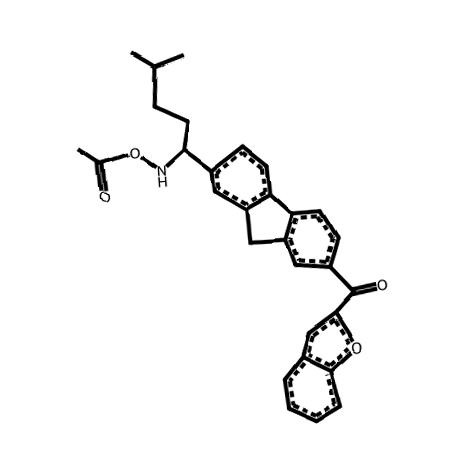 CC(=O)ONC(CCC(C)C)c1ccc2c(c1)Cc1cc(C(=O)c3cc4ccccc4o3)ccc1-2